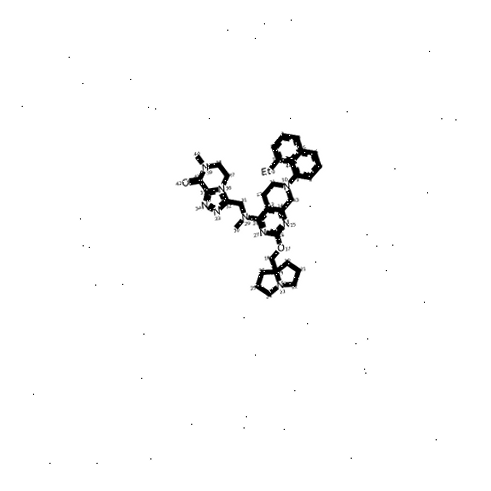 CCc1cccc2cccc(N3CCc4c(nc(OCC56CCCN5CCC6)nc4N(C)Cc4nnc5n4CCN(C)C5=O)C3)c12